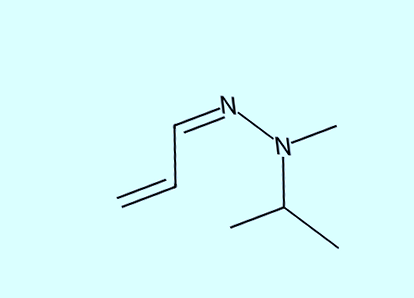 C=C/C=N\N(C)C(C)C